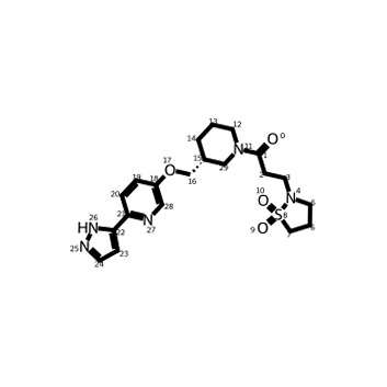 O=C(CCN1CCCS1(=O)=O)N1CCC[C@@H](COc2ccc(-c3ccn[nH]3)nc2)C1